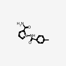 Cc1ccc(C(=O)Nn2cccc2C(N)=O)cc1